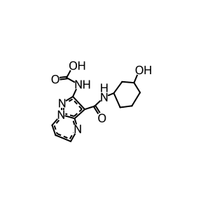 O=C(O)Nc1nn2cccnc2c1C(=O)NC1CCCC(O)C1